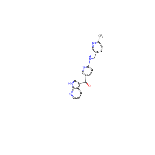 O=C(c1ccc(NCc2ccc(C(F)(F)F)nc2)nc1)c1c[nH]c2ncccc12